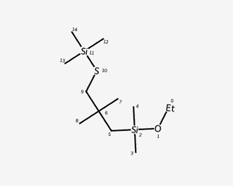 CCO[Si](C)(C)CC(C)(C)CS[Si](C)(C)C